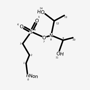 CCCCCCCCCCCCS(=O)(=O)ON(C(C)O)C(C)O